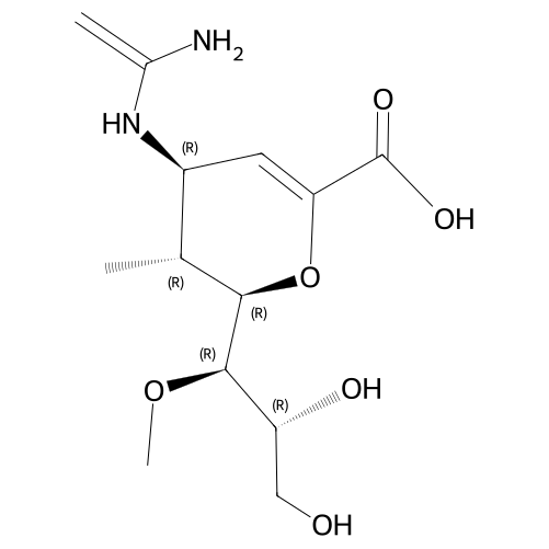 C=C(N)N[C@H]1C=C(C(=O)O)O[C@@H]([C@H](OC)[C@H](O)CO)[C@@H]1C